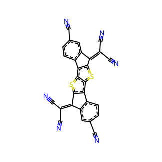 N#CC(C#N)=C1c2cc(C#N)ccc2-c2c1sc1c3c(sc21)C(=C(C#N)C#N)c1cc(C#N)ccc1-3